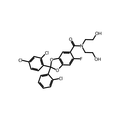 O=C(c1cc2c(cc1F)OC(c1ccccc1Cl)(c1ccc(Cl)cc1Cl)O2)N(CCO)CCO